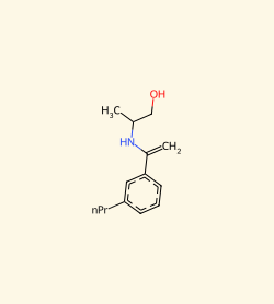 C=C(NC(C)CO)c1cccc(CCC)c1